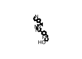 O[C@H]1CCN(Cc2ccc(-c3cnc4ncc(C5(c6ccc7ncccc7c6)CC5)n4c3)cc2F)C1